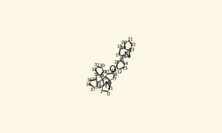 c1ccc(C2(c3cccc(Oc4cccc(-c5ccc6ccccc6n5)c4)c3)c3ccccc3-c3ccccc32)nc1